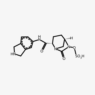 O=C(Nc1ccc2c(c1)CNC2)[C@@H]1CC[C@@H]2CN1C(=O)N2OS(=O)(=O)O